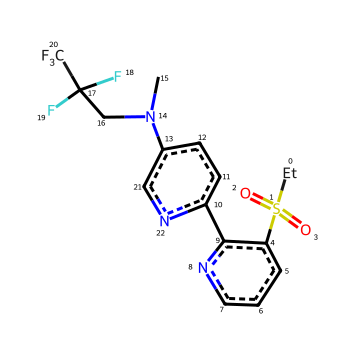 CCS(=O)(=O)c1cccnc1-c1ccc(N(C)CC(F)(F)C(F)(F)F)cn1